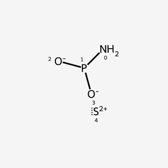 NP([O-])[O-].[S+2]